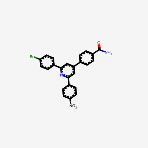 NC(=O)c1ccc(-c2cc(-c3ccc(Br)cc3)nc(-c3ccc([N+](=O)[O-])cc3)c2)cc1